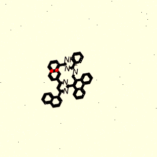 N/C(=N\C(=N/Cc1c(-c2nc(-c3ccccc3)cc(-c3cccc4ccccc34)n2)c2ccccc2c2ccccc12)c1ccccc1)c1ccccc1